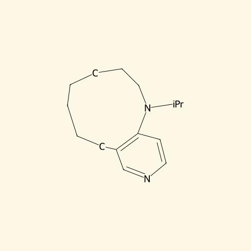 CC(C)N1CCCCCCCc2cnccc21